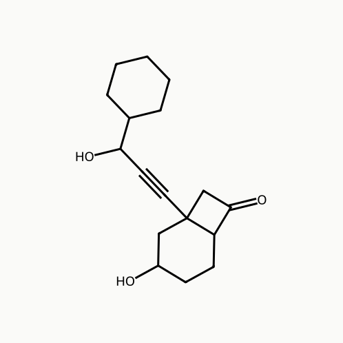 O=C1CC2(C#CC(O)C3CCCCC3)CC(O)CCC12